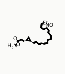 CC/C=C\C[C@H](/C=C/C=C\C\C=C/C=C/C=C/[C@H]1C[C@H]1CCC(=O)ON)N=O